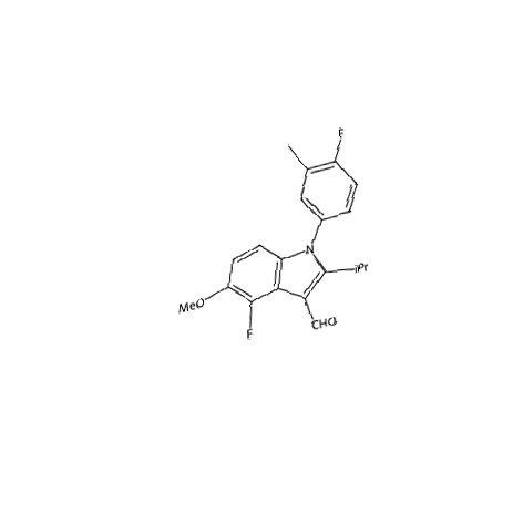 COc1ccc2c(c1F)c(C=O)c(C(C)C)n2-c1ccc(F)c(C)c1